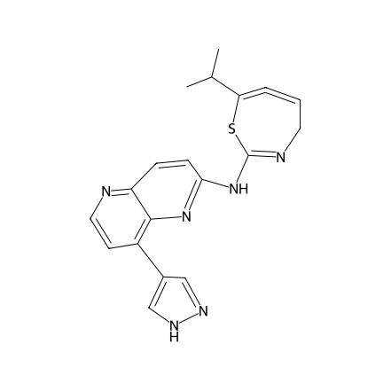 CC(C)C1=C=CCN=C(Nc2ccc3nccc(-c4cn[nH]c4)c3n2)S1